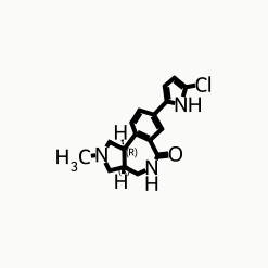 CN1C[C@H]2CNC(=O)c3cc(-c4ccc(Cl)[nH]4)ccc3[C@@H]2C1